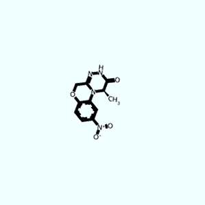 C[C@@H]1C(=O)NN=C2COc3ccc([N+](=O)[O-])cc3N21